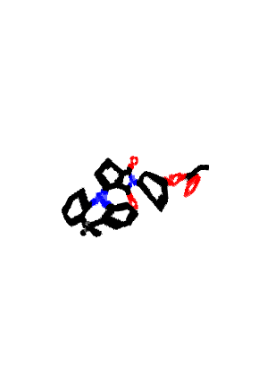 C=CC(=O)Oc1cccc(N2C(=O)c3cccc(N4c5ccccc5[Si](C)(C)c5ccccc54)c3C2=O)c1